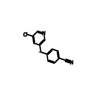 N#Cc1ccc([CH]c2cncc(Cl)c2)cc1